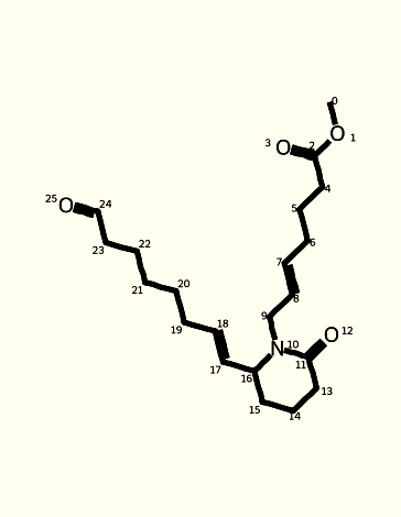 COC(=O)CCCC=CCN1C(=O)CCCC1C=CCCCCCC=O